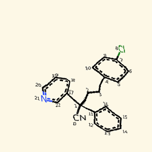 N#CC(CCc1ccc(Cl)cc1)(c1ccccc1)c1cccnc1